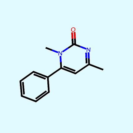 Cc1cc(-c2ccccc2)n(C)c(=O)n1